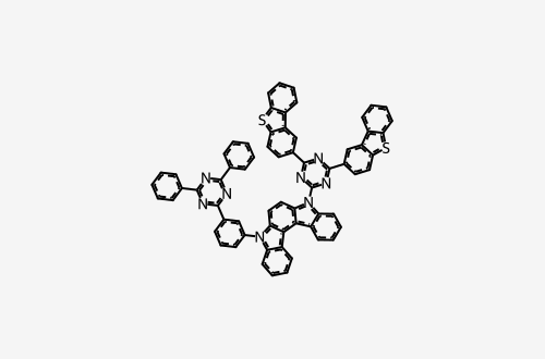 c1ccc(-c2nc(-c3ccccc3)nc(-c3cccc(-n4c5ccccc5c5c6c7ccccc7n(-c7nc(-c8ccc9sc%10ccccc%10c9c8)nc(-c8ccc9sc%10ccccc%10c9c8)n7)c6ccc54)c3)n2)cc1